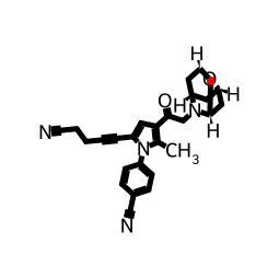 Cc1c(C(=O)CN2[C@H]3C[C@H]4C[C@@H]2C[C@@H](C3)O4)cc(C#CCCC#N)n1-c1ccc(C#N)cc1